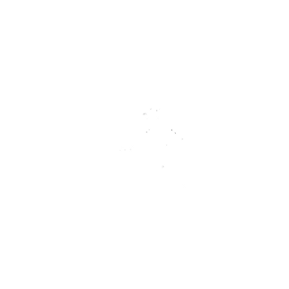 CCOC(=O)[C@H]1[C@H]2C=C[C@H](CC2)N1[C@H](C)c1ccccc1